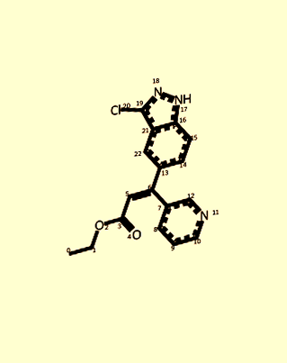 CCOC(=O)C=C(c1cccnc1)c1ccc2[nH]nc(Cl)c2c1